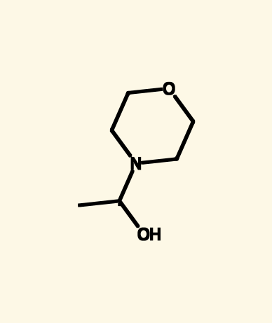 C[C](O)N1CCOCC1